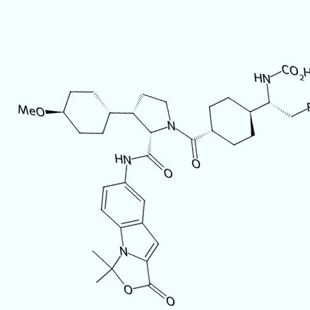 CO[C@H]1CC[C@H]([C@@H]2CCN(C(=O)[C@H]3CC[C@H]([C@@H](CF)NC(=O)O)CC3)[C@@H]2C(=O)Nc2ccc3c(c2)cc2n3C(C)(C)OC2=O)CC1